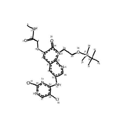 CNC(=O)COc1cc2cc(Nc3nc(Cl)ncc3Cl)cnc2n(CCO[Si](C)(C)C(C)(C)C)c1=O